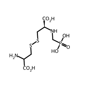 NC(CSSC[C@H](NCP(=O)(O)O)C(=O)O)C(=O)O